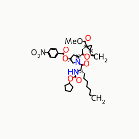 C=CCCCCC[C@H](NC(=O)OC1CCCC1)C(=O)N1C[C@H](OC(=O)c2ccc([N+](=O)[O-])cc2)C[C@H]1C(=O)C[C@]1(C(=O)OC)C[C@H]1C=C